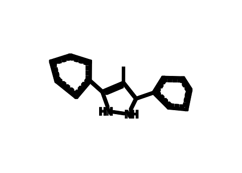 CC1=C(c2ccccc2)NNC1c1ccccc1